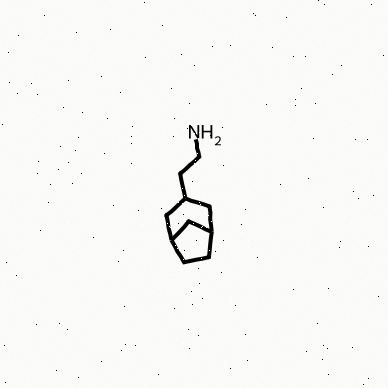 NCCC1CC2CCC(C1)C2